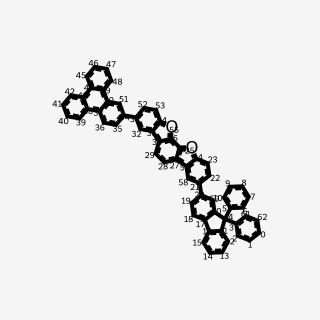 c1ccc(C2(c3ccccc3)c3ccccc3-c3ccc(-c4ccc5oc6c(ccc7c8cc(-c9ccc%10c%11ccccc%11c%11ccccc%11c%10c9)ccc8oc76)c5c4)cc32)cc1